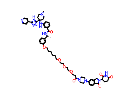 C[C@@H](NC(=O)c1cccc(NC2(c3nnc(-c4ccncc4)[nH]3)CCN(C)CC2)c1)c1cccc(OCCCCCCOCCOCCOCCC(=O)N2CCN(c3ccc4c(c3)CN(C3CCC(=O)NC3=O)C4=O)CC2)c1